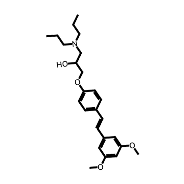 CCCN(CCC)CC(O)COc1ccc(/C=C/c2cc(OC)cc(OC)c2)cc1